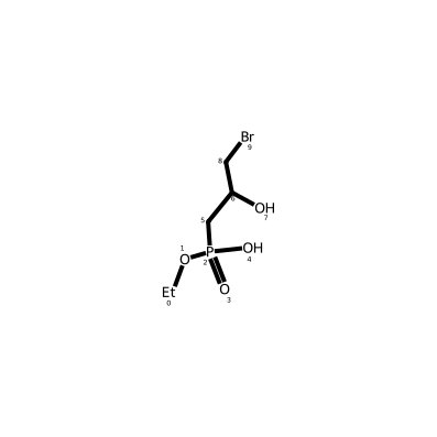 CCOP(=O)(O)CC(O)CBr